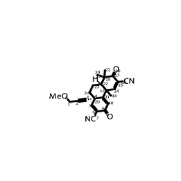 COCC#C[C@@]12C=C(C#N)C(=O)C=C1C1(C)C=C(C#N)C(=O)C(C)(C)[C@@H]1CC2